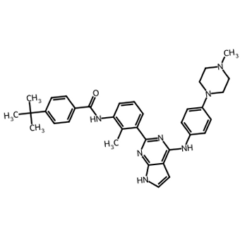 Cc1c(NC(=O)c2ccc(C(C)(C)C)cc2)cccc1-c1nc(Nc2ccc(N3CCN(C)CC3)cc2)c2cc[nH]c2n1